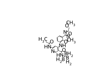 BC(B)(B)NC(=O)c1cnc(NC(=O)CC)cc1Nc1cccc(-c2noc(COC)n2)c1OC